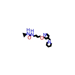 O=C(NCC=CCOc1cc(CN2CCCCC2)ccn1)NC1CC1